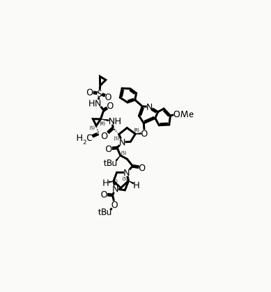 C=C[C@@H]1C[C@]1(NC(=O)[C@@H]1C[C@@H](Oc2cc(-c3ccccc3)nc3cc(OC)ccc23)CN1C(=O)[C@@H](CC(=O)N1C[C@@H]2C[C@H]1CN2C(=O)OC(C)(C)C)C(C)(C)C)C(=O)NS(=O)(=O)C1CC1